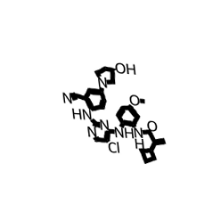 C=C(C(=O)Nc1cc(OC)ccc1Nc1nc(Nc2ccc(N3CC[C@H](O)C3)cc2C#N)ncc1Cl)C1CCC1